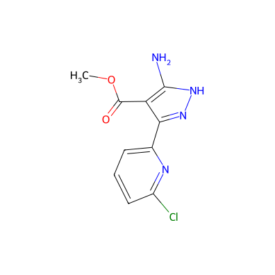 COC(=O)c1c(-c2cccc(Cl)n2)n[nH]c1N